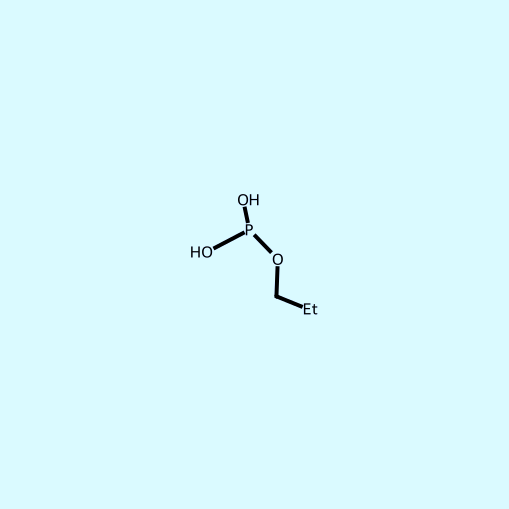 CCCOP(O)O